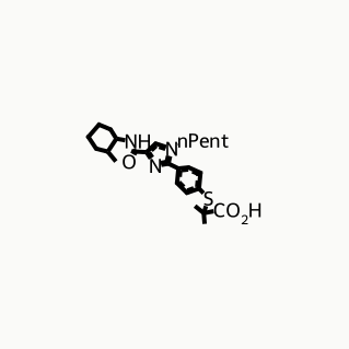 CCCCCn1cc(C(=O)NC2CCCCC2C)nc1-c1ccc(SC(C)(C)C(=O)O)cc1